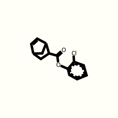 O=C(Oc1ccccc1Cl)C1CC2C=CC1C2